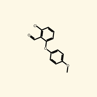 COc1ccc(Oc2cccc(Cl)c2C=O)cc1